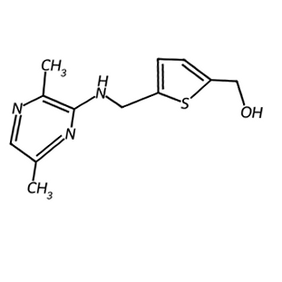 Cc1cnc(C)c(NCc2ccc(CO)s2)n1